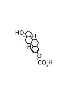 C[C@]12CC[C@@H]3c4ccc(OCC(=O)O)cc4CCC3[C@@H]1CC[C@@H]2O